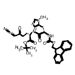 Cn1cncc1C[C@H](NC(=O)OCC1c2ccccc2-c2ccccc21)C(=O)N[C@@H](CCC(=O)C=[N+]=[N-])C(=O)OC(C)(C)C